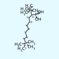 CP(C)(C)(C)CCCCCCCC(P(O)O)P(C)(C)(C)C